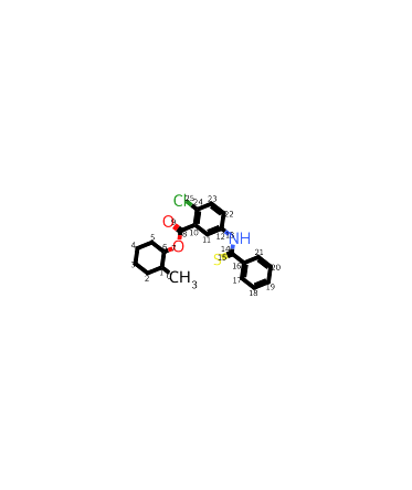 CC1CCCCC1OC(=O)c1cc(NC(=S)c2ccccc2)ccc1Cl